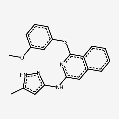 COc1cccc(Sc2nc(Nc3cc(C)[nH]n3)cc3ccccc23)c1